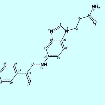 NC(=O)CCn1[c]nc2cc(NCC(=O)c3ccccc3)ccc21